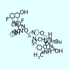 C#Cc1c(F)ccc2cc(O)cc(-c3ncc4c(N5CC6CCC(C5)N6)nc(OCC5(CN6CCC(OCCC(=O)N[C@H](C(=O)N7C[C@H](O)C[C@H]7C(=O)N[C@@H](C)c7ccc(-c8scnc8C)cc7)C(C)(C)C)CC6)CC5)nc4c3F)c12